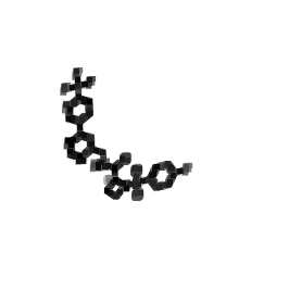 O=C(NCc1cc(-c2ccc(C(F)(F)F)nc2)ncn1)[C@@H]1CCN1S(=O)(=O)c1ccc(F)cc1